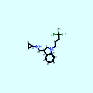 FC(F)(F)CCCN1CC(CNC2CC2)c2ccccc21